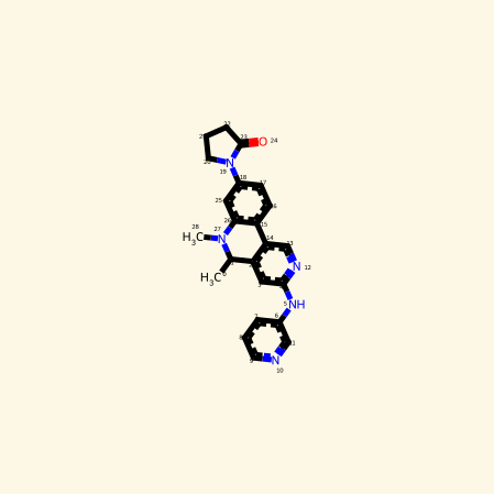 CC1c2cc(Nc3cccnc3)ncc2-c2ccc(N3CCCC3=O)cc2N1C